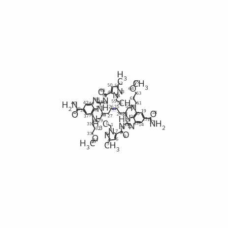 CCn1nc(C)cc1C(=O)Nc1nc2cc(C(N)=O)cc3c2n1[C@@H](C/C=C\C[C@H]1CN(CCCOC)c2cc(C(N)=O)cc4nc(NC(=O)c5cc(C)nn5CC)n1c24)CN3CCCOC